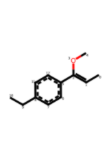 CC=C(OC)c1ccc(CC)cc1